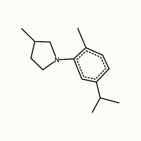 Cc1ccc(C(C)C)cc1N1CCC(C)C1